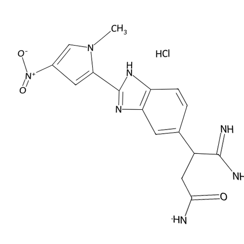 Cl.Cn1cc([N+](=O)[O-])cc1-c1nc2cc(C(CC([NH])=O)C(=N)N)ccc2[nH]1